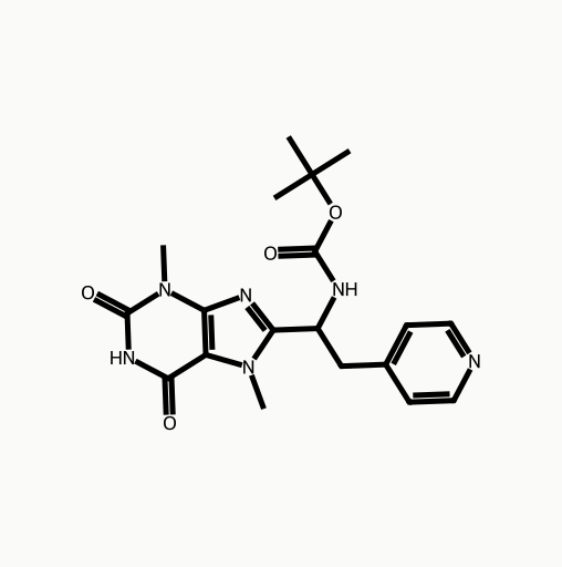 Cn1c(C(Cc2ccncc2)NC(=O)OC(C)(C)C)nc2c1c(=O)[nH]c(=O)n2C